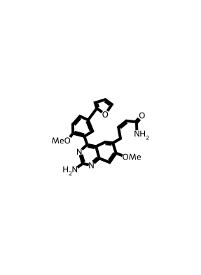 COc1cc2nc(N)nc(-c3cc(-c4ccco4)ccc3OC)c2cc1CC=CC(N)=O